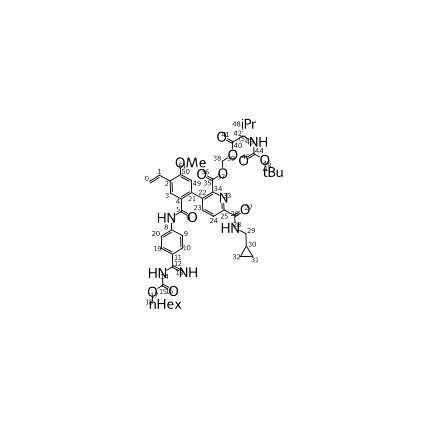 C=Cc1cc(C(=O)Nc2ccc(C(=N)NC(=O)OCCCCCC)cc2)c(-c2ccc(C(=O)NCC3CC3)nc2C(=O)OCOC(=O)[C@@H](NC(=O)OC(C)(C)C)C(C)C)cc1OC